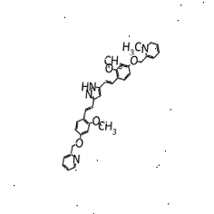 COc1cc(OCC2=CC=CCN2C)ccc1/C=C/c1cc(/C=C/c2ccc(OCc3ccccn3)cc2OC)n[nH]1